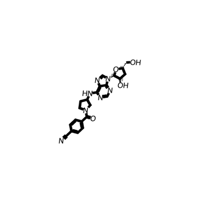 N#Cc1ccc(C(=O)N2CCC(Nc3ncnc4c3ncn4[C@@H]3O[C@H](CO)C[C@H]3O)C2)cc1